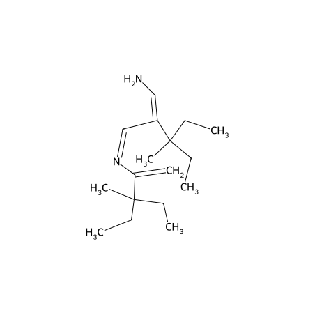 C=C(/N=C\C(=C/N)C(C)(CC)CC)C(C)(CC)CC